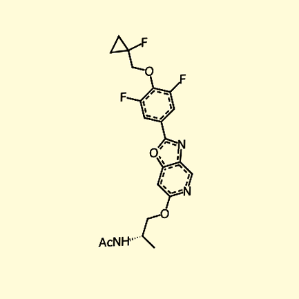 CC(=O)N[C@@H](C)COc1cc2oc(-c3cc(F)c(OCC4(F)CC4)c(F)c3)nc2cn1